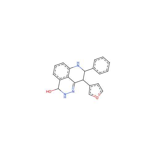 OC1NN=C2c3c(cccc31)NC(c1ccccc1)C2c1ccoc1